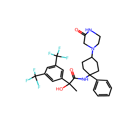 CC(O)(C(=O)NC1(c2ccccc2)CCC(N2CCNC(=O)C2)CC1)c1cc(C(F)(F)F)cc(C(F)(F)F)c1